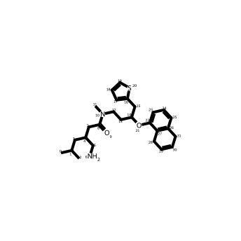 CC(C)CC(CN)CC(=O)N(C)CCC(Cc1cccs1)Oc1cccc2c1CC=CC2